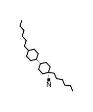 CCCCCCC1CCC([C@H]2CC[C@](C#N)(CCCCCC)CC2)CC1